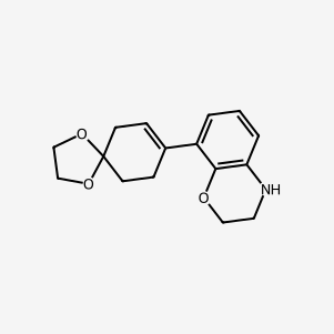 C1=C(c2cccc3c2OCCN3)CCC2(C1)OCCO2